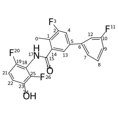 Cc1c(F)cc(-c2cccc(F)c2)cc1C(=O)Nc1c(F)ccc(O)c1F